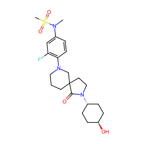 CN(c1ccc(N2CCCC3(CCN([C@H]4CC[C@H](O)CC4)C3=O)C2)c(F)c1)S(C)(=O)=O